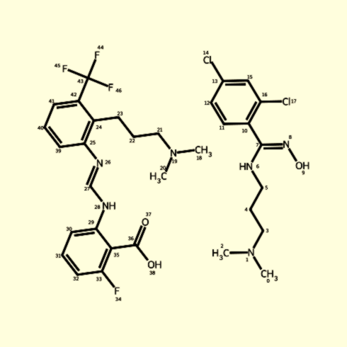 CN(C)CCCNC(=NO)c1ccc(Cl)cc1Cl.CN(C)CCCc1c(N=CNc2cccc(F)c2C(=O)O)cccc1C(F)(F)F